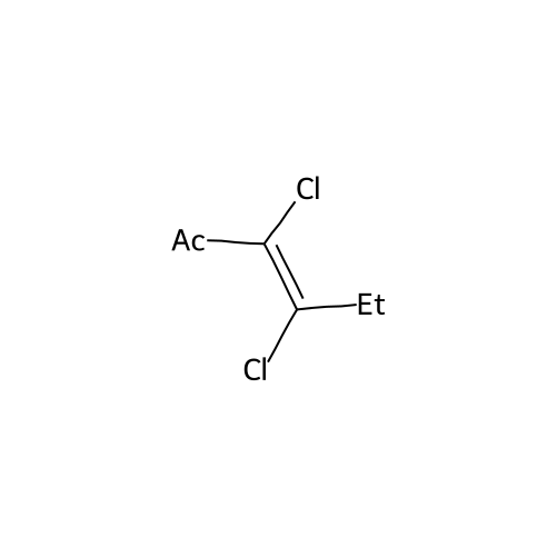 CCC(Cl)=C(Cl)C(C)=O